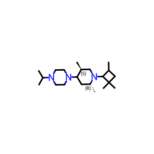 CC1CC(C)(C)C1N1C[C@H](C)C(N2CCN(C(C)C)CC2)C[C@H]1C